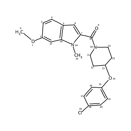 COc1ccc2cc(C(=O)N3CCC(Oc4ccc(Cl)cc4)CC3)n(C)c2c1